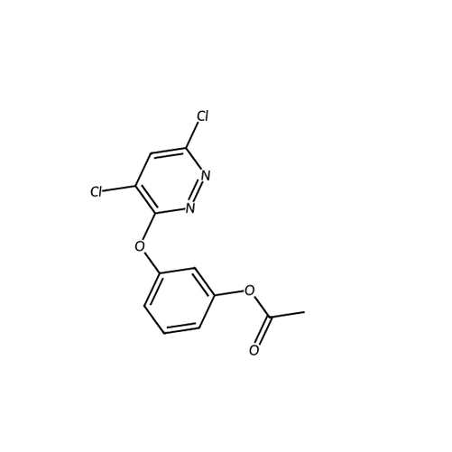 CC(=O)Oc1cccc(Oc2nnc(Cl)cc2Cl)c1